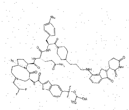 CC(C)(C)c1ccc(C[C@H](NC(=O)[C@H](CCC(N)=O)NC(=O)[C@@H]2CC[C@@H]3CCN(CC(F)F)C[C@H](NC(=O)c4cc5cc(C(F)(F)OP(O)O)ccc5s4)C(=O)N32)C(=O)N2CCC(CCCNc3cccc4c3CN(C3CCC(=O)NC3=O)C4=O)CC2)cc1